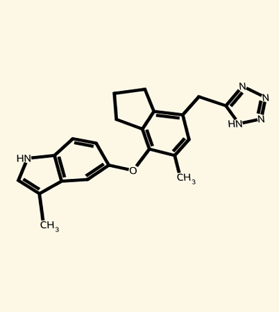 Cc1cc(Cc2nnn[nH]2)c2c(c1Oc1ccc3[nH]cc(C)c3c1)CCC2